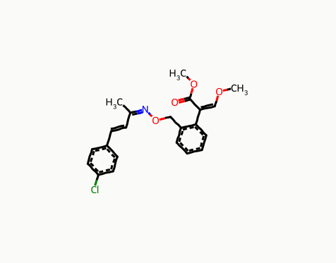 COC=C(C(=O)OC)c1ccccc1CON=C(C)C=Cc1ccc(Cl)cc1